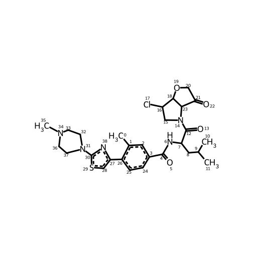 Cc1cc(C(=O)NC(CC(C)C)C(=O)N2CC(Cl)C3OCC(=O)C32)ccc1-c1csc(N2CCN(C)CC2)n1